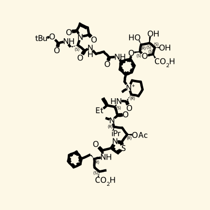 C=C(CC)[C@H](NC(=O)[C@H]1CCCC[N+]1(C)Cc1ccc(O[C@@H]2O[C@H](C(=O)O)[C@@H](O)[C@H](O)[C@H]2O)c(NC(=O)CCNC(=O)[C@H](CNC(=O)OC(C)(C)C)N2C(=O)C=CC2=O)c1)C(=O)N(C)[C@H](C[C@@H](OC(C)=O)c1nc(C(=O)N[C@@H](Cc2ccccc2)C[C@H](C)C(=O)O)cs1)C(C)C